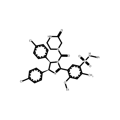 CCOc1cc(C)c(S(=O)(=O)NC(C)C)cc1C1=N[C@@H](c2ccc(Cl)cc2)[C@@H](c2ccc(Cl)cc2)N1C(=O)N1CCNC(=O)C1